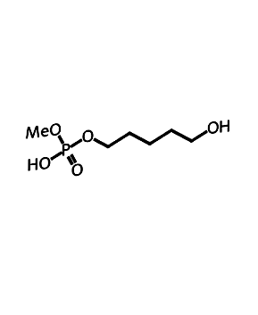 COP(=O)(O)OCCCCCO